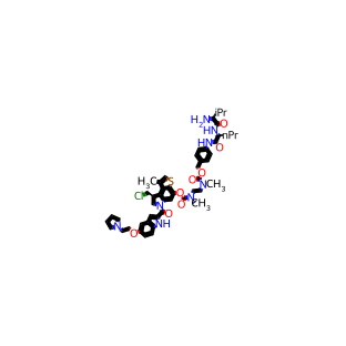 CCC[C@H](NC(=O)[C@@H](N)C(C)C)C(=O)Nc1ccc(COC(=O)N(C)CCN(C)C(=O)Oc2cc3c(c4c(C)csc24)[C@H](CCl)CN3C(=O)c2cc3cc(OCCN4CCCC4)ccc3[nH]2)cc1